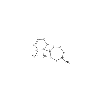 CCCCC1(N2CCCN(C)CC2)CCN=CC1N